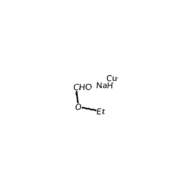 CCOC=O.[Cu].[NaH]